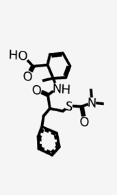 CN(C)C(=O)SCC(Cc1ccccc1)C(=O)NC1(C)C=CC=CC1C(=O)O